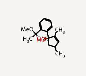 COC(C)(OC)c1ccccc1C1(O)CC(C)C=C1C